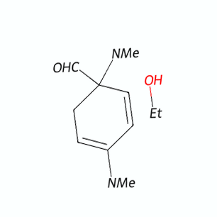 CCO.CNC1=CCC(C=O)(NC)C=C1